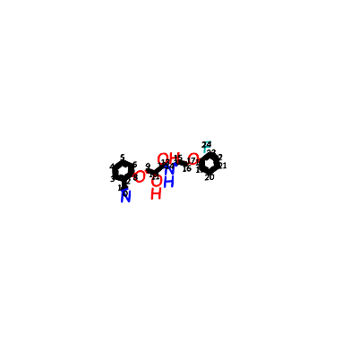 N#Cc1ccccc1OCC(O)C(O)NCCOc1ccccc1F